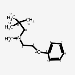 CN(CCOc1ccccc1)CC(C)(C)C